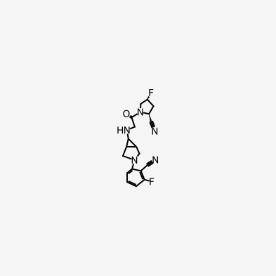 N#Cc1c(F)cccc1N1CC2C(C1)C2NCC(=O)N1C[C@@H](F)C[C@H]1C#N